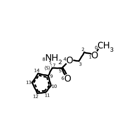 COCCOC(=O)[C@@H](N)c1ccccc1